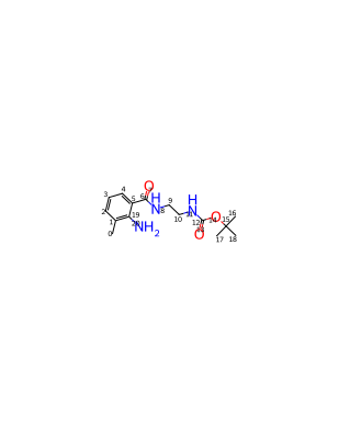 Cc1cccc(C(=O)NCCNC(=O)OC(C)(C)C)c1N